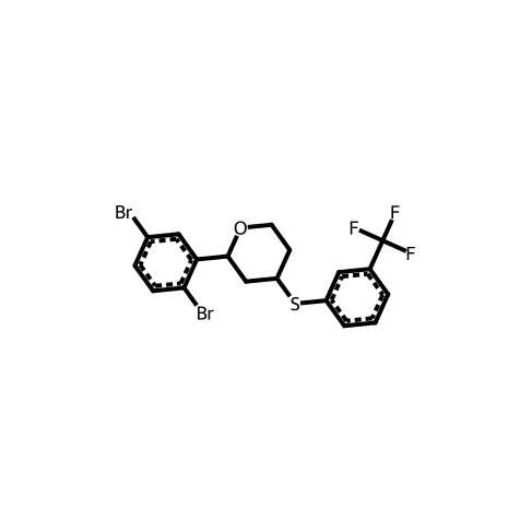 FC(F)(F)c1cccc(SC2CCOC(c3cc(Br)ccc3Br)C2)c1